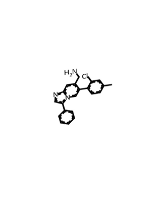 Cc1ccc(-c2cn3c(-c4ccccc4)cnc3cc2CN)c(Cl)c1